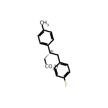 Cc1ccc([C@@H](CC(=O)O)Cc2ccc(F)cc2)cc1